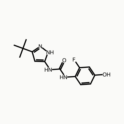 CC(C)(C)c1cc(NC(=O)Nc2ccc(O)cc2F)[nH]n1